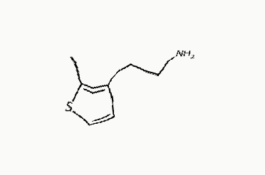 Cc1sccc1CCN